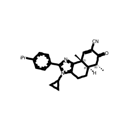 CC(C)c1ccc(-c2nc3c(n2C2CC2)CC[C@@H]2[C@@H](C)C(=O)C(C#N)=C[C@@]32C)cc1